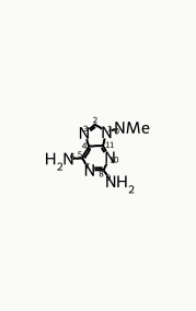 CNn1cnc2c(N)nc(N)nc21